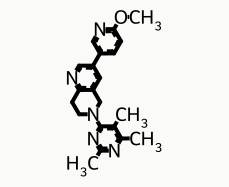 COc1ccc(-c2cnc3c(c2)CN(c2nc(C)nc(C)c2C)CC3)cn1